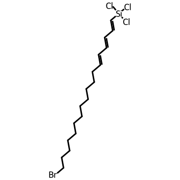 Cl[Si](Cl)(Cl)C=CC=CC=CCCCCCCCCCCCCBr